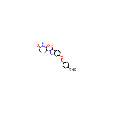 O=Cc1ccc(COc2ccc3c(c2)CN(C2CCCC(=O)NC2=O)C3=O)cc1